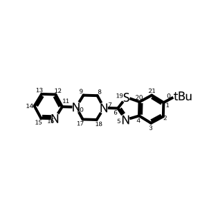 CC(C)(C)c1ccc2nc(N3CCN(c4ccccn4)CC3)sc2c1